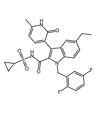 CCc1ccc2c(c1)c(-c1ccc(C)[nH]c1=O)c(C(=O)NS(=O)(=O)C1CC1)n2Cc1cc(F)ccc1F